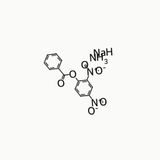 N.O=C(Oc1ccc([N+](=O)[O-])cc1[N+](=O)[O-])c1ccccc1.[NaH]